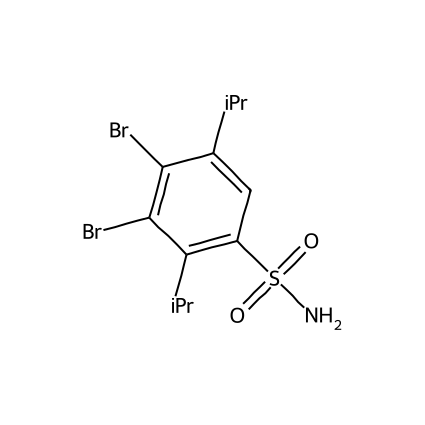 CC(C)c1cc(S(N)(=O)=O)c(C(C)C)c(Br)c1Br